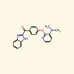 CN(C)c1cccnc1Oc1ccc(C(=O)c2nc3ccccc3[nH]2)cc1